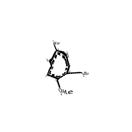 COc1[c]cc(C(C)(C)C)cc1C(C)(C)C